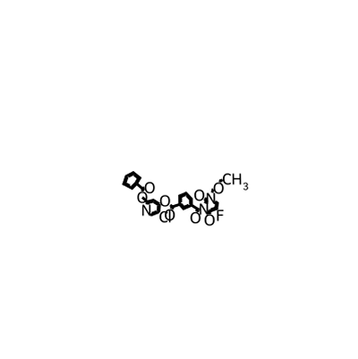 CCOCn1cc(F)c(=O)n(C(=O)c2cccc(C(=O)Oc3cc(OC(=O)c4ccccc4)ncc3Cl)c2)c1=O